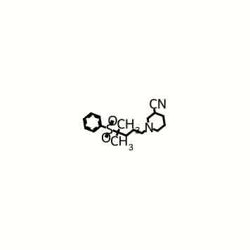 CC(C)(CCCN1CCCC(C#N)C1)S(=O)(=O)c1ccccc1